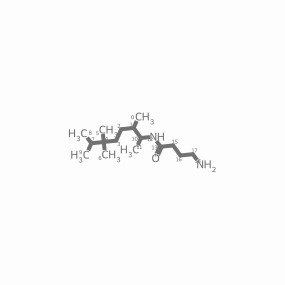 CC(CCC(C)(C)C(C)C)C(C)NC(=O)CCCN